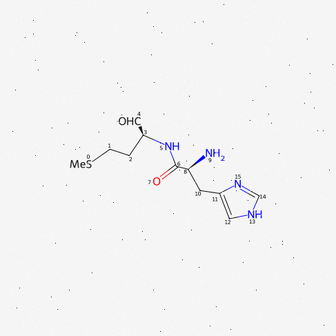 CSCC[C@@H]([C]=O)NC(=O)[C@@H](N)Cc1c[nH]cn1